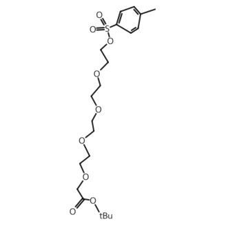 Cc1ccc(S(=O)(=O)OCCOCCOCCOCCOCC(=O)OC(C)(C)C)cc1